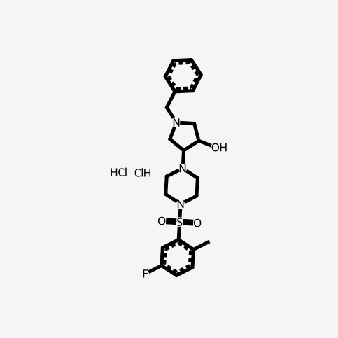 Cc1ccc(F)cc1S(=O)(=O)N1CCN(C2CN(Cc3ccccc3)CC2O)CC1.Cl.Cl